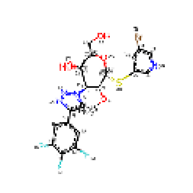 O=S(=O)(O)O[C@@H]1[C@@H](n2cc(-c3cc(F)c(F)c(F)c3)nn2)[C@@H](O)[C@@H](CO)O[C@@H]1Sc1cncc(Br)c1